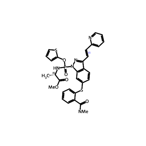 CNC(=O)c1ccccc1Sc1ccc2c(/C=C/c3ccccn3)nn(P(=O)(N[C@@H](C)C(=O)OC)Oc3cccs3)c2c1